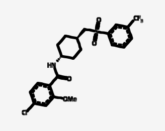 COc1cc(Cl)ccc1C(=O)N[C@H]1CC[C@H](CS(=O)(=O)c2cccc(C(F)(F)F)c2)CC1